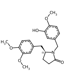 COc1ccc(CN2C(=O)CC[C@H]2Cc2ccc(OC)c(OC)c2)cc1O